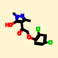 Cc1nn(C)c(O)c1C(=O)COc1ccc(Cl)cc1Cl